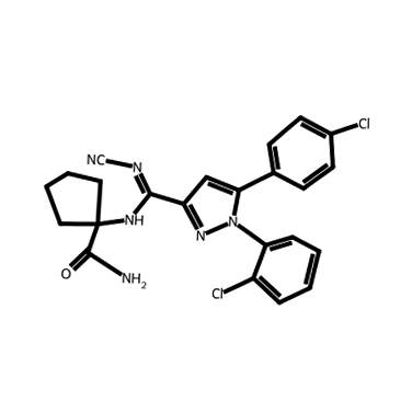 N#CN=C(NC1(C(N)=O)CCCC1)c1cc(-c2ccc(Cl)cc2)n(-c2ccccc2Cl)n1